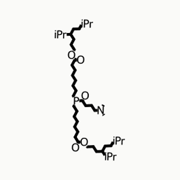 CC(C)CCC(CCCOC(=O)CCCCCCCP(CCCCCCCC(=O)OCCCC(CCC(C)C)C(C)C)C(=O)CCCN(C)C)C(C)C